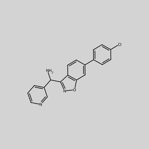 NC(c1cccnc1)c1noc2cc(-c3ccc(Cl)cc3)ccc12